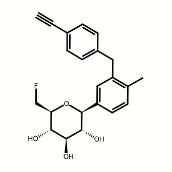 C#Cc1ccc(Cc2cc([C@@H]3O[C@H](CF)[C@@H](O)[C@H](O)[C@H]3O)ccc2C)cc1